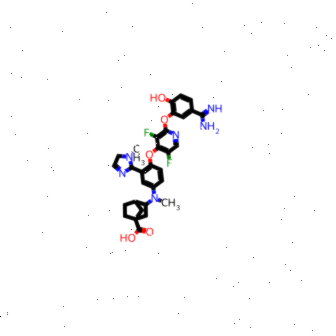 CN1CC=NC1c1cc(N(C)C2CC3(C(=O)O)CCC2C3)ccc1Oc1c(F)cnc(Oc2cc(C(=N)N)ccc2O)c1F